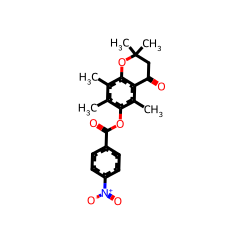 Cc1c(C)c2c(c(C)c1OC(=O)c1ccc([N+](=O)[O-])cc1)C(=O)CC(C)(C)O2